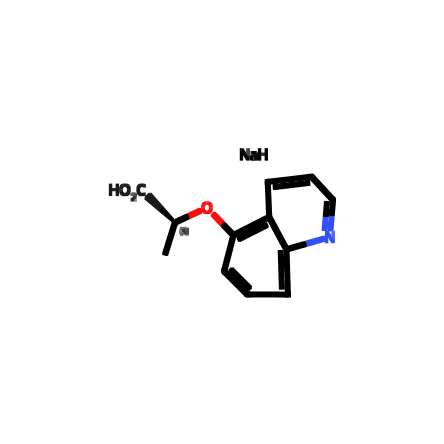 C[C@H](Oc1cccc2ncccc12)C(=O)O.[NaH]